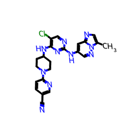 Cc1cnc2cc(Nc3ncc(Cl)c(NC4CCN(c5ccc(C#N)cn5)CC4)n3)cnn12